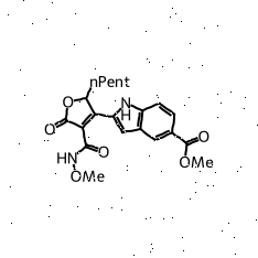 CCCCCC1OC(=O)C(C(=O)NOC)=C1c1cc2cc(C(=O)OC)ccc2[nH]1